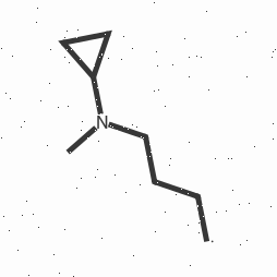 [CH2]CCCN(C)C1CC1